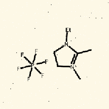 CCN1CC[N+](C)=C1C.F[P-](F)(F)(F)(F)F